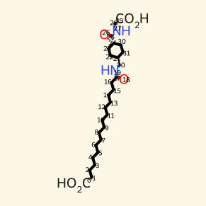 O=C(O)CCCCCCCCCCCCCCCCC(=O)NC[C@H]1CC[C@H](C(=O)NCC(=O)O)CC1